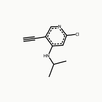 C#Cc1cnc(Cl)cc1NC(C)C